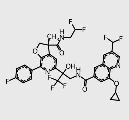 C[C@]1(C(=O)NCC(F)F)COc2c1cc(C(O)(CNC(=O)c1cc(OC3CC3)c3ncc(C(F)F)cc3c1)C(F)(F)F)nc2-c1ccc(F)cc1